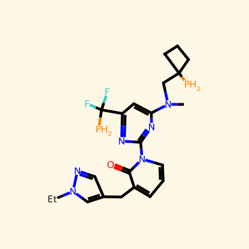 CCn1cc(Cc2cccn(-c3nc(N(C)CC4(P)CCC4)cc(C(F)(F)P)n3)c2=O)cn1